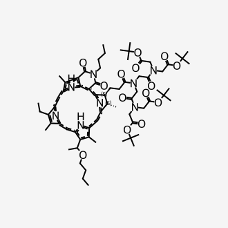 CCCCOC(C)c1c(C)c2cc3nc(c4c5[nH]c(cc6nc(cc1[nH]2)C(C)=C6CC)c(C)c5C(=O)N(CCCC)C4=O)[C@@H](CCC(=O)N(CC(=O)N(CC(=O)OC(C)(C)C)CC(=O)OC(C)(C)C)CC(=O)N(CC(=O)OC(C)(C)C)CC(=O)OC(C)(C)C)[C@@H]3C